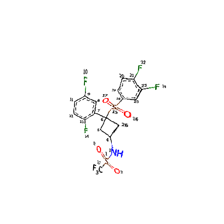 O=S(=O)(NC1CC(c2cc(F)ccc2F)(S(=O)(=O)c2ccc(F)c(F)c2)C1)C(F)(F)F